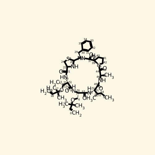 C=CC(C)(C)OC[C@@H]1NC(=O)[C@H]([C@@H](C)OC(C)(C)C=C)NC(=O)C2CSC(N2)[C@@H](Cc2ccccc2)NC(=O)[C@@H]2CCCN2C(=O)C(C)NC(=O)[C@H]([C@@H](C)CC)NC1=O